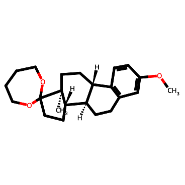 COc1ccc2c(c1)CC[C@@H]1[C@@H]2CC[C@@]2(C)[C@H]1CCC21OCCCCO1